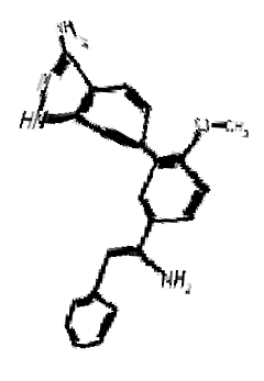 COc1ccc(C(N)Cc2ccccc2)cc1-c1ccc2c(N)n[nH]c2c1